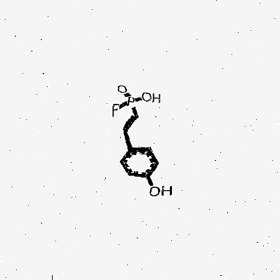 O=P(O)(F)C=Cc1ccc(O)cc1